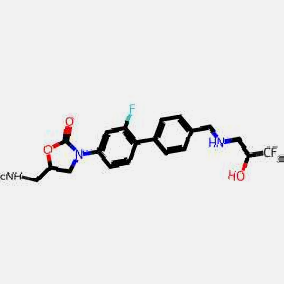 CC(=O)NCC1CN(c2ccc(-c3ccc(CNCC(O)C(F)(F)F)cc3)c(F)c2)C(=O)O1